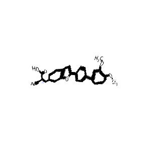 COc1ccc(-c2ccc(-c3cc4ccc(/C=C(/C#N)C(=O)O)cc4o3)cc2)cc1OC